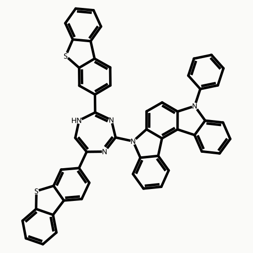 C1=C(c2ccc3c(c2)sc2ccccc23)N=C(n2c3ccccc3c3c4c5ccccc5n(-c5ccccc5)c4ccc32)N=C(c2ccc3c(c2)sc2ccccc23)N1